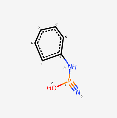 N#P(O)Nc1ccccc1